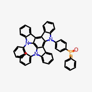 O=[PH](c1ccccc1)c1ccc(-n2c3ccccc3c3c4c5ccccc5n(-c5ccccc5)c4c4c(c5ccccc5n4-c4ccccc4)c32)cc1